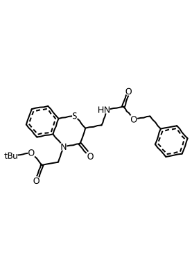 CC(C)(C)OC(=O)CN1C(=O)C(CNC(=O)OCc2ccccc2)Sc2ccccc21